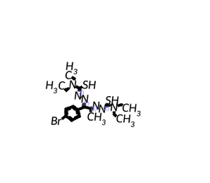 CCN(CC)/C(S)=N/N=C(C)/C(=N/N=C(\S)N(CC)CC)c1ccc(Br)cc1